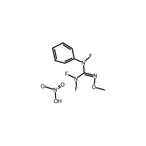 CON=C(N(F)F)N(F)c1ccccc1.O=[N+]([O-])O